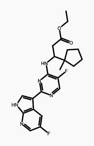 CCOC(=O)CC(Nc1nc(-c2c[nH]c3ncc(F)cc23)ncc1F)C1(C)CCCC1